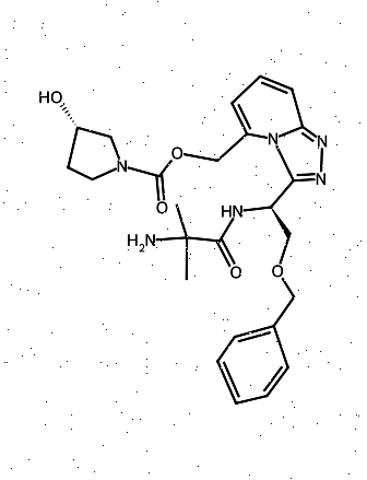 CC(C)(N)C(=O)N[C@H](COCc1ccccc1)c1nnc2cccc(COC(=O)N3CC[C@H](O)C3)n12